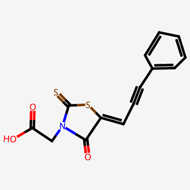 O=C(O)CN1C(=O)C(=CC#Cc2ccccc2)SC1=S